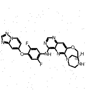 Fc1cc(Oc2ccn3ncnc3c2)c(F)cc1Nc1ncnc2cc3c(nc12)N1CCN[C@H](CO3)C1